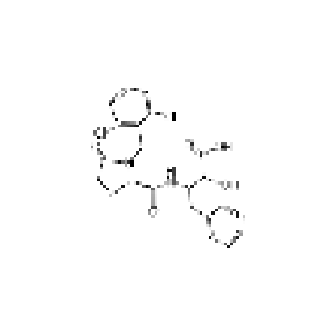 O=C(O)C(O)C(Cc1ccccc1)NC(=O)[C@H]1CCC(=O)N1Cc1c(Cl)cccc1Cl